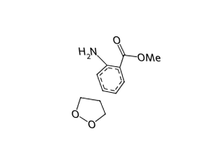 C1COOC1.COC(=O)c1ccccc1N